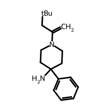 C=C(CC(C)(C)C)N1CCC(N)(c2ccccc2)CC1